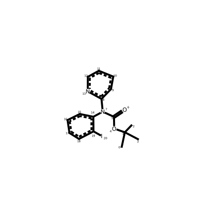 CC(C)(C)OC(=O)N(c1ccccn1)c1ccccc1I